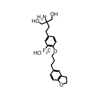 Cl.NC(CO)(CO)CCc1ccc(OCCCc2ccc3c(c2)CCO3)c(C(F)(F)F)c1